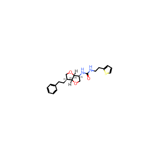 O=C(NCCc1cccs1)N[C@H]1CO[C@@H]2[C@@H](CCc3ccccc3)CO[C@@H]21